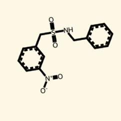 O=[N+]([O-])c1cccc(CS(=O)(=O)NCc2ccccc2)c1